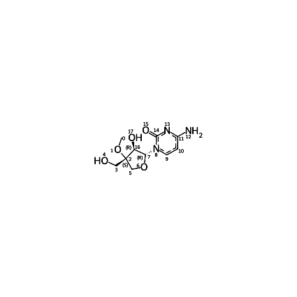 CO[C@@]1(CO)CO[C@@H](n2ccc(N)nc2=O)[C@@H]1O